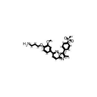 COc1cc(-c2ccc3nc(C)c(-c4ccc(S(C)(=O)=O)cc4)n3n2)ccc1OCCCN